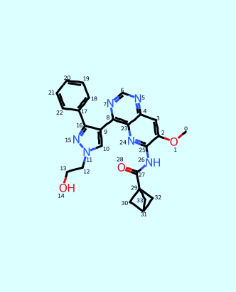 COc1cc2ncnc(-c3cn(CCO)nc3-c3ccccc3)c2nc1NC(=O)C12CC(C1)C2